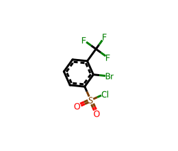 O=S(=O)(Cl)c1cccc(C(F)(F)F)c1Br